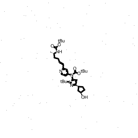 C[C@@H](CC/C=C/c1cc(N(C(=O)OC(C)(C)C)c2cc([C@H]3CC[C@@H](O)C3)nn2C(C)(C)C)ccn1)NC(=O)OC(C)(C)C